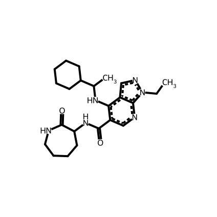 CCn1ncc2c(NC(C)C3CCCCC3)c(C(=O)NC3CCCCNC3=O)cnc21